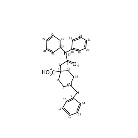 O=C(CC1(C(=O)O)CCN(Cc2ccccc2)CC1)N(c1ccccc1)c1ccccc1